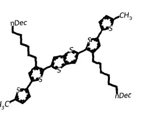 CCCCCCCCCCCCCCCCc1cc(-c2ccc(C)s2)sc1-c1cc2sc(-c3sc(-c4ccc(C)s4)cc3CCCCCCCCCCCCCCCC)cc2s1